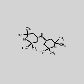 CC1(C)CC(NC2CC(C)(C)NC(C)(C)C2)CC(C)(C)N1